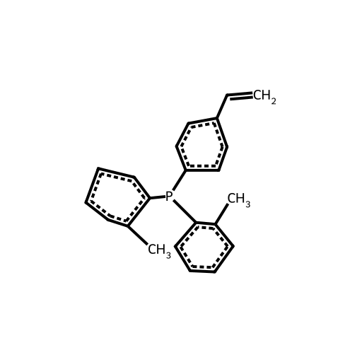 C=Cc1ccc(P(c2ccccc2C)c2ccccc2C)cc1